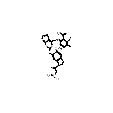 COc1cc2c(cc1Nc1nc(Nc3ccc(F)c(F)c3C(N)=O)c3ccnc-3[nH]1)N(C(=O)CN(C)C)CC2